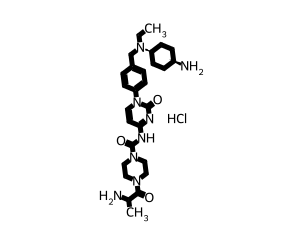 CCN(Cc1ccc(-n2ccc(NC(=O)N3CCN(C(=O)C(C)N)CC3)nc2=O)cc1)[C@H]1CC[C@H](N)CC1.Cl